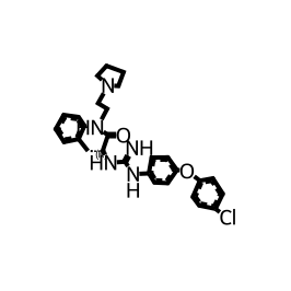 N=C(Nc1ccc(Oc2ccc(Cl)cc2)cc1)N[C@H](Cc1ccccc1)C(=O)NCCN1CCCC1